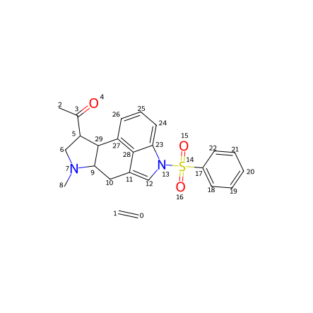 C=C.CC(=O)C1CN(C)C2Cc3cn(S(=O)(=O)c4ccccc4)c4cccc(c34)C12